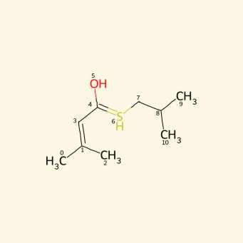 CC(C)=CC(O)=[SH]CC(C)C